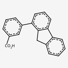 O=C(O)c1cccc(-c2cccc3c2Cc2ccccc2-3)c1